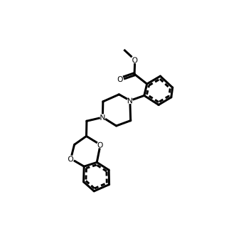 COC(=O)c1ccccc1N1CCN(CC2COc3ccccc3O2)CC1